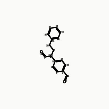 O=Cc1ccc(N(C=O)CCc2ccccc2)cc1